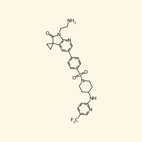 NCCN1C(=O)C2(CC2)c2cc(-c3ccc(S(=O)(=O)N4CCC(Nc5ccc(C(F)(F)F)cn5)CC4)cc3)cnc21